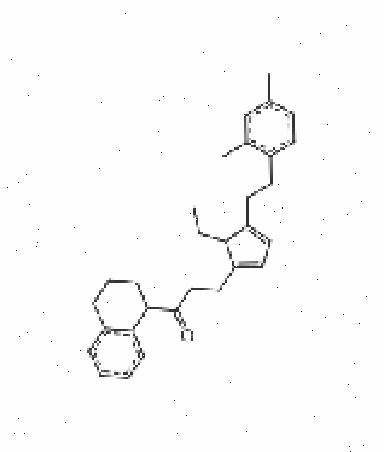 CCC1C(CCC(=O)C2CCCc3ccccc32)=CC=C1CCc1ccc(C)cc1C